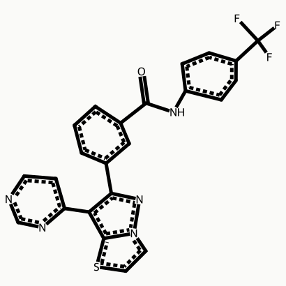 O=C(Nc1ccc(C(F)(F)F)cc1)c1cccc(-c2nn3ccsc3c2-c2ccncn2)c1